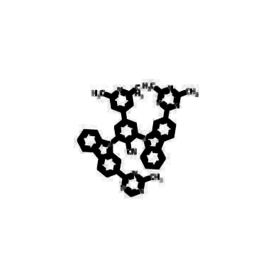 Cc1cc(-c2cc(-n3c4ccccc4c4ccc(-c5ncnc(C)n5)cc43)c(C#N)c(-n3c4ccccc4c4ccc(-c5nc(C)nc(C)n5)cc43)c2)cc(C)n1